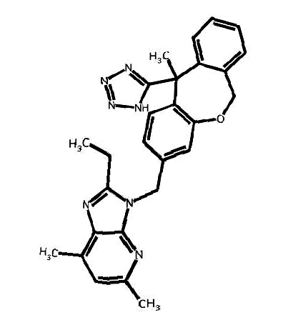 CCc1nc2c(C)cc(C)nc2n1Cc1ccc2c(c1)OCc1ccccc1C2(C)c1nnn[nH]1